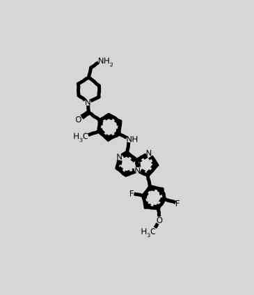 COc1cc(F)c(-c2cnc3c(Nc4ccc(C(=O)N5CCC(CN)CC5)c(C)c4)nccn23)cc1F